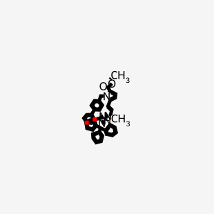 CC/C=C/c1ccc(C(=O)OCC)n1Cc1ccc(-c2ccccc2-c2nnnn2C(c2ccccc2)(c2ccccc2)c2ccccc2)cc1